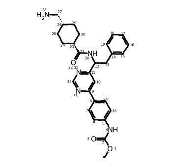 COC(=O)Nc1ccc(-c2cc(C(Cc3ccccc3)NC(=O)[C@H]3CC[C@H](CN)CC3)ncn2)cc1